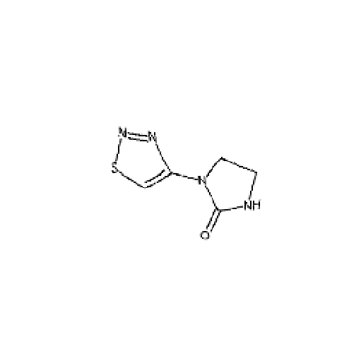 O=C1NCCN1c1csnn1